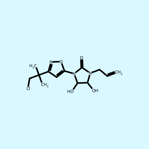 C=CCN1C(=O)N(c2cc(C(C)(C)CCl)no2)C(O)C1O